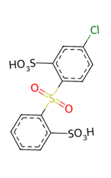 O=S(=O)(O)c1ccccc1S(=O)(=O)c1ccc(Cl)cc1S(=O)(=O)O